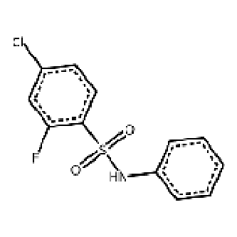 O=S(=O)(Nc1ccccc1)c1ccc(Cl)cc1F